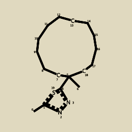 Cc1nnc(C2(C)CCCCCCCCCCCC2)s1